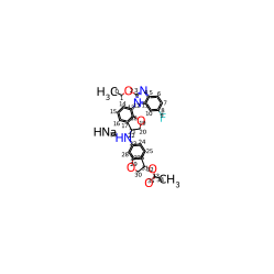 CCOc1nc2ccc(F)cc2n1-c1cccc2c1OC[C@H]2Nc1ccc2c(c1)OC[C@H]2OC(C)=O.[NaH]